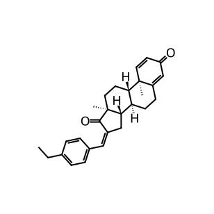 CCc1ccc(C=C2C[C@H]3[C@@H]4CCC5=CC(=O)C=C[C@]5(C)[C@H]4CC[C@]3(C)C2=O)cc1